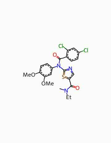 CCN(C)C(=O)c1cnc(N(C(=O)c2ccc(Cl)cc2Cl)c2ccc(OC)c(OC)c2)s1